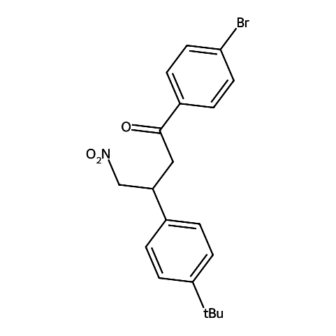 CC(C)(C)c1ccc(C(CC(=O)c2ccc(Br)cc2)C[N+](=O)[O-])cc1